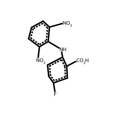 O=C(O)c1cc(F)ccc1Nc1c([N+](=O)[O-])cccc1[N+](=O)[O-]